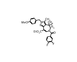 CCOC(=O)C1=CN(C(=O)c2ccc(F)c(F)c2)CC(C)(C)c2c1nn(Cc1ccc(OC)cc1)c2C